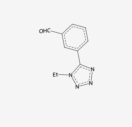 CCn1nnnc1-c1cccc(C=O)c1